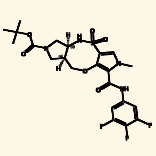 Cn1cc2c(c1C(=O)Nc1cc(F)c(F)c(F)c1)OC[C@H]1CN(C(=O)OC(C)(C)C)C[C@H]1NS2(=O)=O